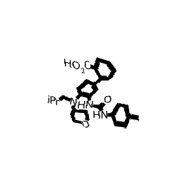 Cc1ccc(NC(=O)Nc2cc(-c3ccccc3C(=O)O)ccc2N(CC(C)C)C2CCOCC2)cc1